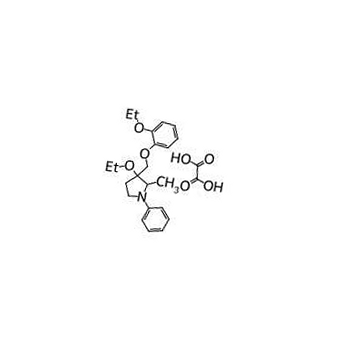 CCOc1ccccc1OCC1(OCC)CCN(c2ccccc2)C1C.O=C(O)C(=O)O